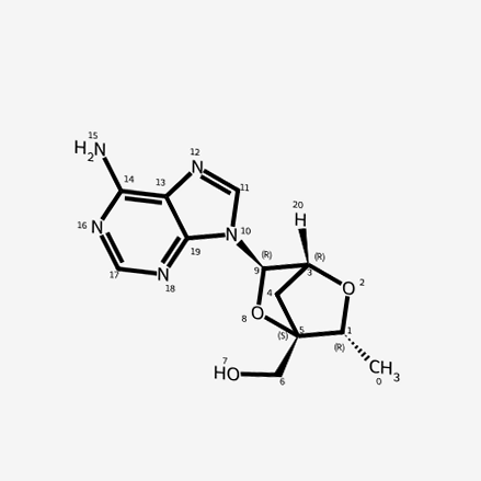 C[C@H]1O[C@@H]2C[C@@]1(CO)O[C@H]2n1cnc2c(N)ncnc21